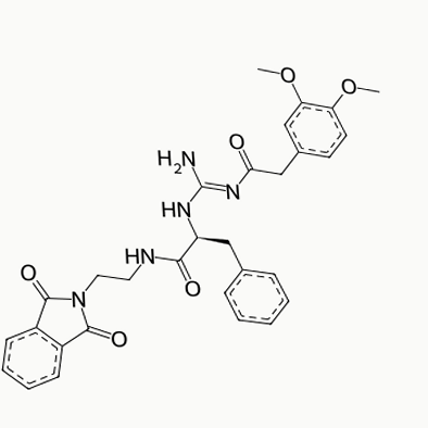 COc1ccc(CC(=O)N=C(N)N[C@@H](Cc2ccccc2)C(=O)NCCN2C(=O)c3ccccc3C2=O)cc1OC